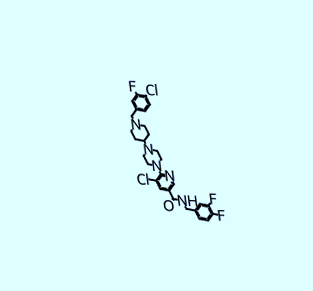 O=C(NCc1ccc(F)c(F)c1)c1cnc(N2CCN(C3CCN(Cc4ccc(Cl)c(F)c4)CC3)CC2)c(Cl)c1